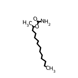 CCCCCCCCCCCCC(C)OC(N)=O